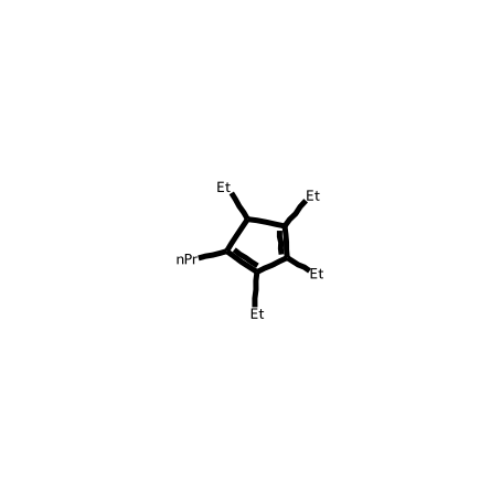 CCCC1=C(CC)C(CC)=C(CC)C1CC